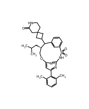 Cc1cccc(C)c1-c1cc2nc(n1)NS(=O)(=O)c1cccc(c1)C(C1CC3(CCNC(=O)C3)C1)[C@H](CC(C)C)CO2